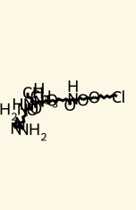 CC[C@H](C)[C@H](NC(=O)[C@@H](N)CCCn1ccnc1N)C(=O)NCCCOCCCCC(=O)NCCOCCOCCCCCCCl